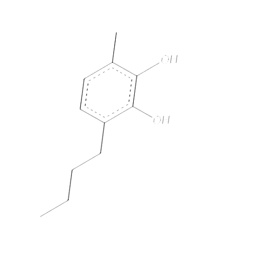 CCCCc1ccc(C)c(O)c1O